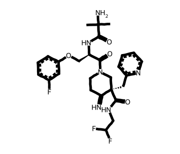 CC(C)(N)C(=O)N[C@H](COc1cccc(F)c1)C(=O)N1CCC(=N)[C@](Cc2ccccn2)(C(=O)NCC(F)F)C1